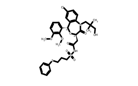 COc1cccc([C@H]2O[C@H](CC(=O)NS(=O)(=O)CCCSc3ccccc3)C(=O)N(CC(C)(C)CO)c3ccc(Cl)cc32)c1OC